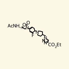 CCOC(=O)c1cn(CC2CCN(C3CC=C(N4C[C@H](CNC(C)=O)OC4=O)C=C3F)CC2)nn1